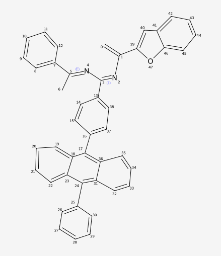 C=C(/N=C(\N=C(/C)c1ccccc1)c1ccc(-c2c3ccccc3c(-c3ccccc3)c3ccccc23)cc1)c1cc2ccccc2o1